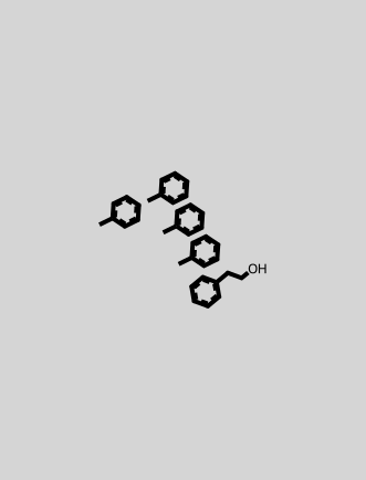 Cc1ccccc1.Cc1ccccc1.Cc1ccccc1.Cc1ccccc1.OCCc1ccccc1